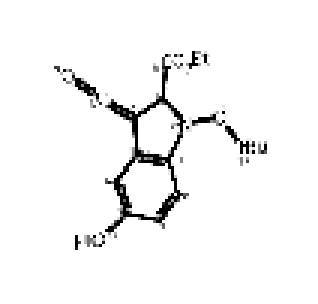 CCOC(=O)C1C(=C=O)c2cc(O)ccc2N1OC(C)(C)C